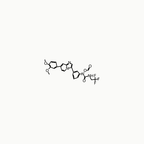 COc1ccc(-c2ccn3c(-c4cccc(N(OC=O)C(=O)NCC(F)(F)F)c4)cnc3c2)cc1OC